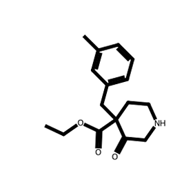 CCOC(=O)C1(Cc2cccc(C)c2)CCNCC1=O